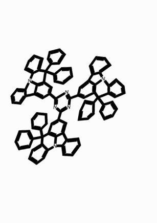 C1=CCCC(C2(c3ccccc3)c3ccccc3-n3c4ccccc4c4cc(-c5nc(-c6cc7c8c(c6)c6ccccc6n8-c6ccccc6C7(c6ccccc6)c6ccccc6)nc(-c6cc7c8c(c6)c6ccccc6n8-c6ccccc6C7(c6ccccc6)c6ccccc6)n5)cc2c43)=C1